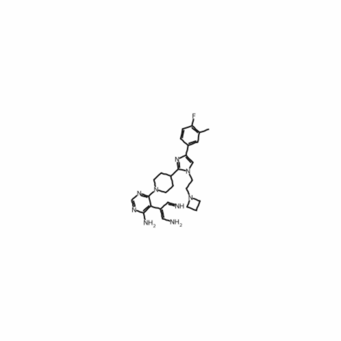 Cc1cc(-c2cn(CCN3CCC3)c(C3CCN(c4ncnc(N)c4/C(C=N)=C/N)CC3)n2)ccc1F